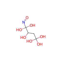 O=NC(O)(O)C(O)CC(O)(O)O